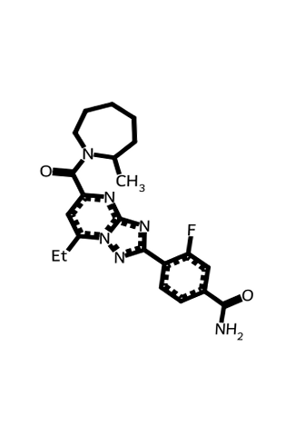 CCc1cc(C(=O)N2CCCCCC2C)nc2nc(-c3ccc(C(N)=O)cc3F)nn12